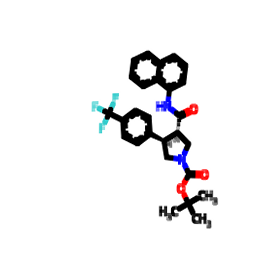 CC(C)(C)OC(=O)N1C[C@@H](C(=O)Nc2cccc3ccccc23)[C@H](c2ccc(C(F)(F)F)cc2)C1